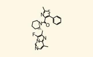 Cc1nc(C(=O)N2CCCC[C@H]2Cc2nc3c(C)cncn3c2F)c(-c2ccccc2)s1